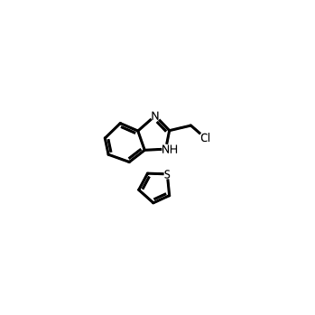 ClCc1nc2ccccc2[nH]1.c1ccsc1